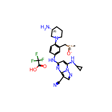 C[S@@+]([O-])Cc1cc(Nc2cc(NC3CC3)n3ncc(C#N)c3n2)ccc1N1CCC[C@@H](N)C1.O=C(O)C(F)(F)F